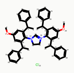 COc1cc(C(C)c2ccccc2)c(N2C=[N+](c3c(C(C)c4ccccc4)cc(OC)cc3C(C)c3ccccc3)CC2)c(C(C)c2ccccc2)c1.[Cl-]